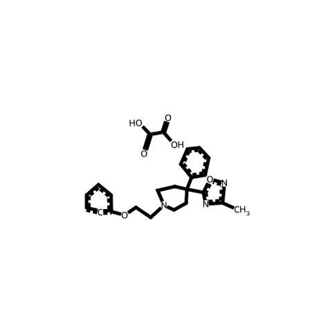 Cc1noc(C2(c3ccccc3)CCN(CCOc3ccccc3)CC2)n1.O=C(O)C(=O)O